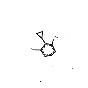 [CH2]C(C)c1cccc(C(C)C)c1C1CC1